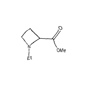 CCN1CCC1C(=O)OC